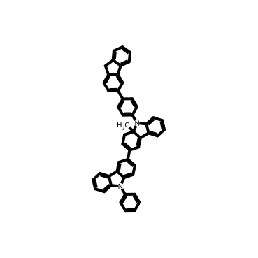 CC12CC=C(c3ccc4c(c3)c3ccccc3n4-c3ccccc3)C=C1c1ccccc1N2c1ccc(-c2ccc3c(c2)-c2ccccc2C3)cc1